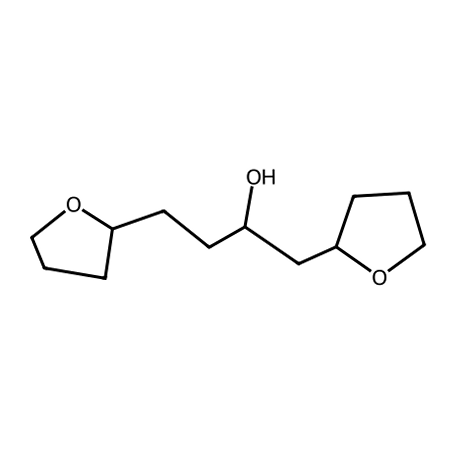 OC(CCC1CCCO1)CC1CCCO1